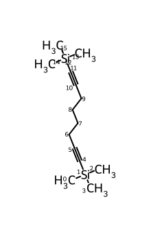 C[Si](C)(C)C#CCCCCC#C[Si](C)(C)C